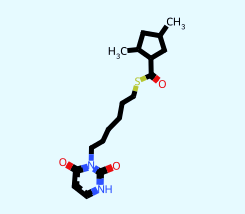 CC1CC(C)C(C(=O)SCCCCCCn2c(=O)cc[nH]c2=O)C1